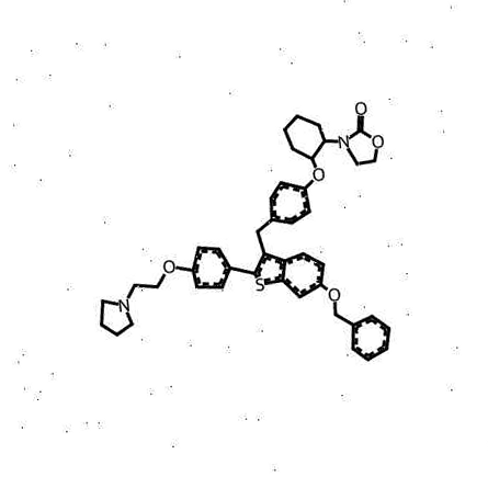 O=C1OCCN1C1CCCCC1Oc1ccc(Cc2c(-c3ccc(OCCN4CCCC4)cc3)sc3cc(OCc4ccccc4)ccc23)cc1